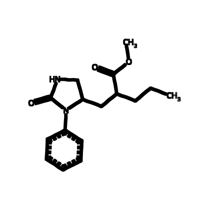 CCCC(CC1CNC(=O)N1c1ccccc1)C(=O)OC